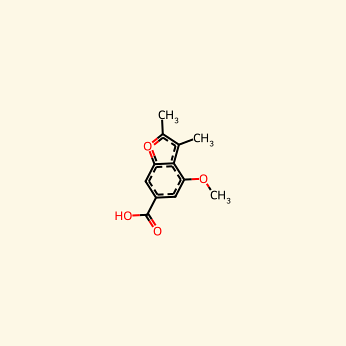 COc1cc(C(=O)O)cc2oc(C)c(C)c12